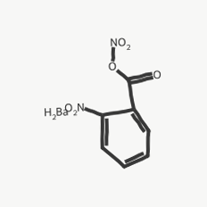 O=C(O[N+](=O)[O-])c1ccccc1[N+](=O)[O-].[BaH2]